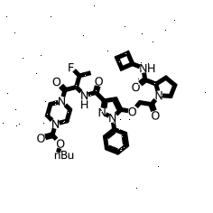 CCCCOC(=O)N1CCN(C(=O)C(NC(=O)c2cc(OCC(=O)N3CCCC3C(=O)NC3CCC3)n(-c3ccccc3)n2)C(C)F)CC1